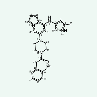 Cc1cc(Nc2nc(N3CCN(C(=O)Cc4ccccc4F)CC3)nn3cccc23)n[nH]1